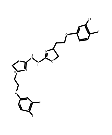 Fc1ccc(OCC[C@H]2COC(NNC3=NC(CCOc4ccc(F)c(Cl)c4)CO3)=N2)cc1F